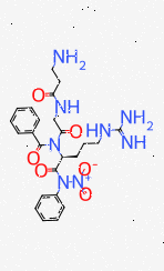 N=C(N)NCCC[C@@H](C(=O)N(c1ccccc1)[N+](=O)[O-])N(C(=O)CNC(=O)CCN)C(=O)c1ccccc1